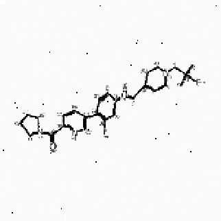 CC(C)(F)CN1CCC(COc2ccc(-c3ccc(C(=O)N4CCCC4)nc3)c(F)c2)CC1